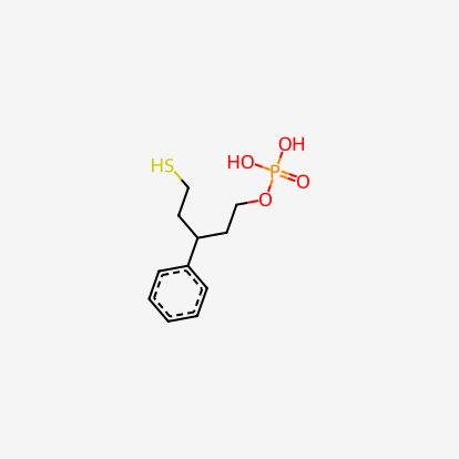 O=P(O)(O)OCCC(CCS)c1ccccc1